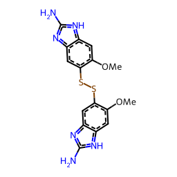 COc1cc2[nH]c(N)nc2cc1SSc1cc2nc(N)[nH]c2cc1OC